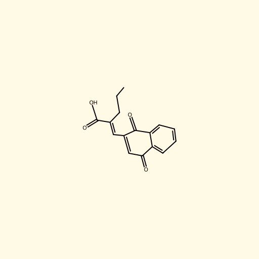 CCCC(=CC1=CC(=O)c2ccccc2C1=O)C(=O)O